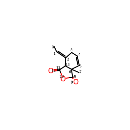 CC=C1CC=CC2(C)C(=O)OC(=O)C12